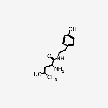 CC(C)C[C@H](N)C(=O)NCCc1ccc(O)cc1